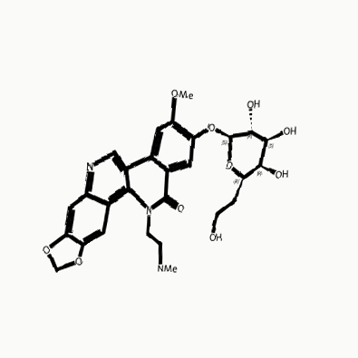 CNCCn1c(=O)c2cc(O[C@@H]3O[C@H](CCO)[C@H](O)[C@H](O)[C@H]3O)c(OC)cc2c2cnc3cc4c(cc3c21)OCO4